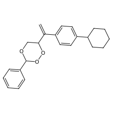 C=C(c1ccc(C2CCCCC2)cc1)C1COC(c2ccccc2)OO1